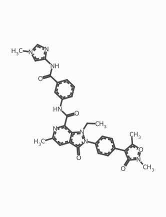 CCn1c2c(C(=O)Nc3cccc(C(=O)Nc4cn(C)cn4)c3)nc(C)cc2c(=O)n1-c1ccc(-c2c(C)on(C)c2=O)cc1